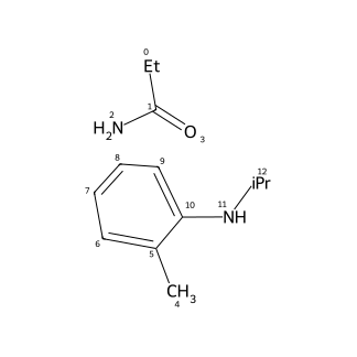 CCC(N)=O.Cc1ccccc1NC(C)C